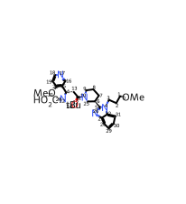 COCCCn1c([C@@H]2CCCN(C(=O)C[C@@H](c3cnccc3OC)N(C(=O)O)C(C)(C)C)C2)nc2ccccc21